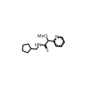 COC(C(=S)NCC1CCCC1)c1ccccn1